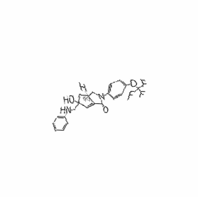 O=C1C2=CC(O)(CNc3ccccc3)C[C@H]2CN1c1ccc(OC(F)(F)F)cc1